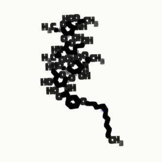 CCCCCC/C=C\CCCOc1cccc(C(=O)NC2[C@H](O[C@H]3C(O)C(NC(C)=O)[C@H](O[C@@H]4C(CO)O[C@@H](O[C@H]5C(O)C(NC(C)=O)C(O)O[C@H]5CC)C(NC(C)=O)[C@H]4O)O[C@H]3CO)OC(CO)[C@@H](O)[C@@H]2O)c1